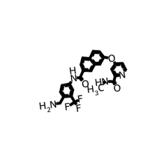 CNC(=O)c1cc(Oc2ccc3ccc(C(=O)Nc4ccc(CN)c(C(F)(F)F)c4)cc3c2)ccn1